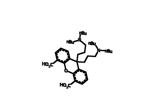 CCCCN(CCCC)CCCC1(CCCN(CCCC)CCCC)c2cccc(C(=O)O)c2Oc2c(C(=O)O)cccc21